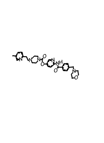 Cc1ccc(CCN2CCN(C(=O)Oc3ccc(NC(=O)c4ccc(CN5CCOCC5)cc4)nc3)CC2)nc1